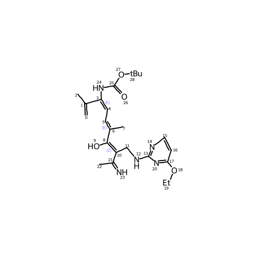 C=C(C)\C(=C/C=C(C)/C(O)=C(\CNc1nccc(OCC)n1)C(C)=N)NC(=O)OC(C)(C)C